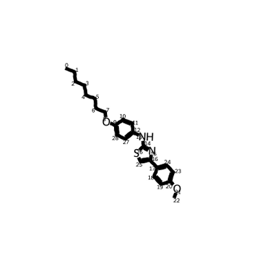 CCCCCCCCOc1ccc(Nc2nc(-c3ccc(OC)cc3)cs2)cc1